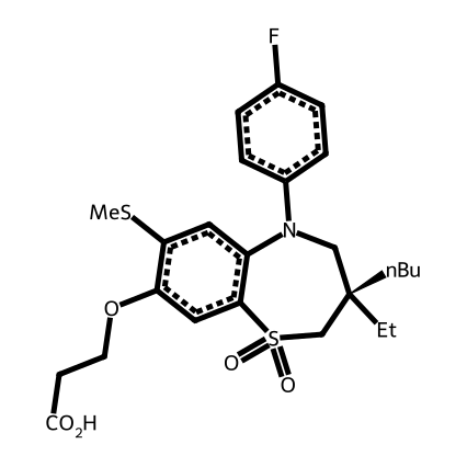 CCCC[C@]1(CC)CN(c2ccc(F)cc2)c2cc(SC)c(OCCC(=O)O)cc2S(=O)(=O)C1